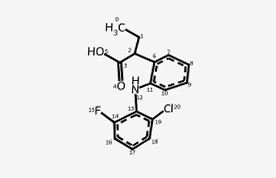 CCC(C(=O)O)c1ccccc1Nc1c(F)cccc1Cl